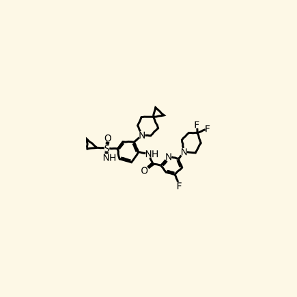 N=S(=O)(c1ccc(NC(=O)c2cc(F)cc(N3CCC(F)(F)CC3)n2)c(N2CCC3(CC2)CC3)c1)C1CC1